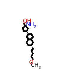 COCCC/C=C/[C@@H]1CCc2cc([C@H]3CC[C@](N)(CO)C3)ccc2C1